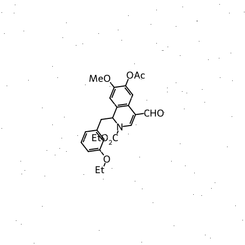 CCOC(=O)N1C=C(C=O)c2cc(OC(C)=O)c(OC)cc2C1Cc1cccc(OCC)c1